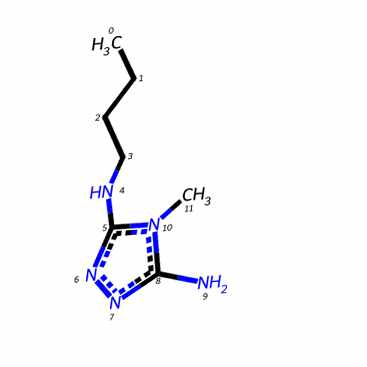 CCCCNc1nnc(N)n1C